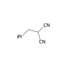 CC(C)CC(C#N)C#N